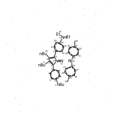 CCCCC1=C(c2ccc(CCCC)cc2)[N+](=[N-])C(c2ccc(N(CC)CC)cc2)=C1CCCC.Cc1cc[c]([Ni][c]2ccc(C)cc2)cc1